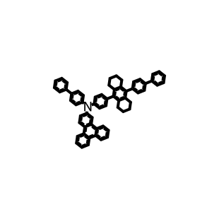 c1ccc(-c2ccc(-c3c4c(c(-c5ccc(N(c6ccc(-c7ccccc7)cc6)c6ccc7c8ccccc8c8ccccc8c7c6)cc5)c5c3CCCC5)CCCC4)cc2)cc1